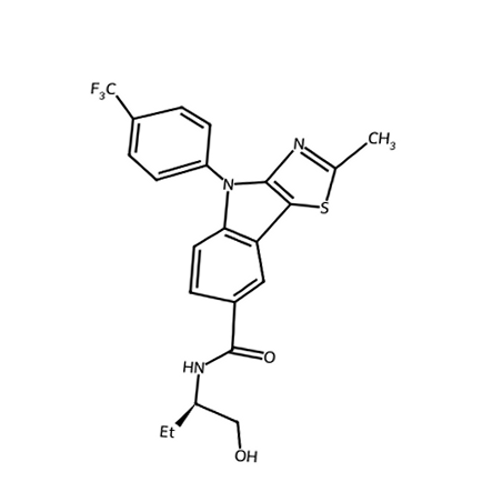 CC[C@H](CO)NC(=O)c1ccc2c(c1)c1sc(C)nc1n2-c1ccc(C(F)(F)F)cc1